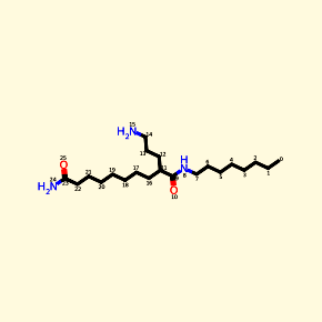 CCCCCCCCNC(=O)C(CCCN)CCCCCCCC(N)=O